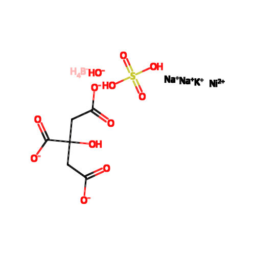 O=C([O-])CC(O)(CC(=O)[O-])C(=O)[O-].O=S(=O)(O)O.[BH4-].[K+].[Na+].[Na+].[Ni+2].[OH-]